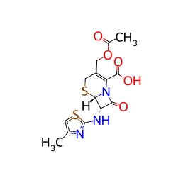 CC(=O)OCC1=C(C(=O)O)N2C(=O)[C@H](Nc3nc(C)cs3)[C@@H]2SC1